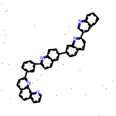 c1cc(-c2ccc3cc(-c4ccc5ccc(-c6cnc7ccccc7c6)nc5c4)ccc3n2)cc(-c2ccc3ccc4cccnc4c3n2)c1